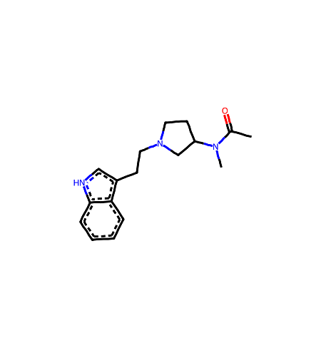 CC(=O)N(C)C1CCN(CCc2c[nH]c3ccccc23)C1